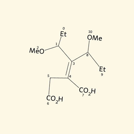 CCC(OC)C(=C(CC(=O)O)C(=O)O)C(CC)OC